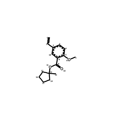 C=Cc1ccc(OC)c(C(=O)OC2(C)CCCC2)c1